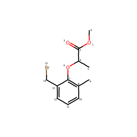 COC(=O)C(C)Oc1c(C)cccc1CBr